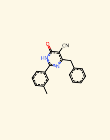 Cc1cccc(-c2nc(Cc3ccccc3)c(C#N)c(=O)[nH]2)c1